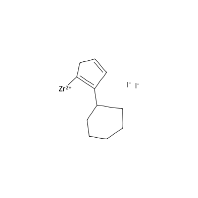 [I-].[I-].[Zr+2][C]1=C(C2CCCCC2)C=CC1